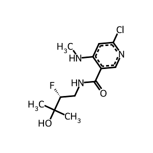 CNc1cc(Cl)ncc1C(=O)NC[C@@H](F)C(C)(C)O